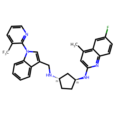 Cc1cc(N[C@H]2CC[C@H](NCc3cn(-c4ncccc4C(F)(F)F)c4ccccc34)C2)nc2ccc(F)cc12